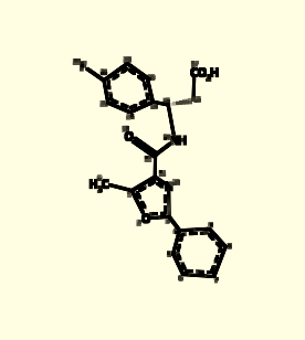 Cc1oc(-c2ccccc2)nc1C(=O)N[C@@H](CC(=O)O)c1ccc(F)cc1